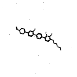 C=CC1CC=C(c2ccc(-c3ccc(-c4ccc(CCCCCC)c(F)c4F)cc3)c(F)c2)CC1